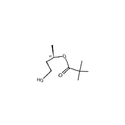 C[C@H](CCO)OC(=O)C(C)(C)C